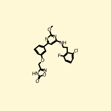 COc1nc(NCCc2c(F)cccc2Cl)cc(-c2cccc(OCc3noc(=O)[nH]3)c2)n1